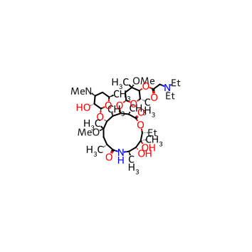 CC[C@H]1OC(=O)[C@H](C)C(O[C@H]2C[C@@](C)(OC)[C@@H](OC(=O)CN(CC)CC)[C@H](C)O2)[C@H](C)[C@@H](O[C@@H]2O[C@H](C)C[C@H](NC)[C@H]2O)[C@](C)(OC)C[C@@H](C)C(=O)N[C@H](C)[C@@H](O)[C@]1(C)O